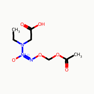 CCN(CC(=O)O)/[N+]([O-])=N\OCOC(C)=O